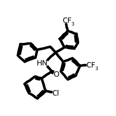 O=C(NC(Cc1ccccc1)(c1cccc(C(F)(F)F)c1)c1cccc(C(F)(F)F)c1)c1ccccc1Cl